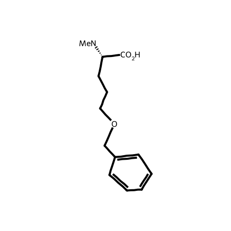 CN[C@@H](CCCOCc1ccccc1)C(=O)O